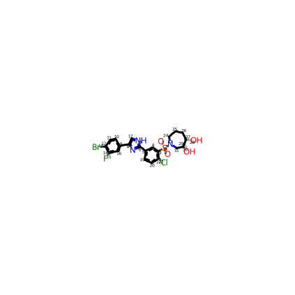 O=S(=O)(c1cc(-c2nc(-c3ccc(Br)c(F)c3)c[nH]2)ccc1Cl)N1CCC[C@H](O)[C@@H](O)C1